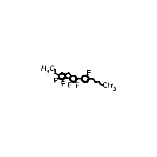 CCCCCc1ccc(-c2cc3c(c(F)c2F)-c2c(cc(CCC)c(F)c2F)C3)cc1F